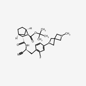 CN1CC2(C1)CN(c1ccc(C[C@@H](C#N)NC(=O)[C@@H]3[C@H]4CC[C@H](C4)N3C(=O)OC(C)(C)C)c(F)c1)C2